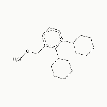 [SiH3]OCc1cccc(C2CCCCC2)c1C1CCCCC1